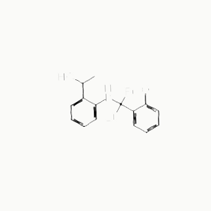 CCC(CC)(Pc1ccccc1C(C)O)c1ccccc1O